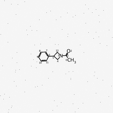 CC(=O)N1CC(c2cc[c]cc2)C1